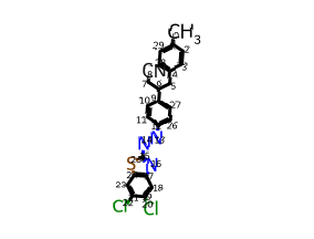 Cc1ccc(CC(CC#N)c2ccc(N=Nc3nc4cc(Cl)c(Cl)cc4s3)cc2)cc1